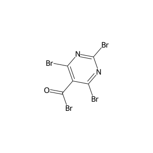 O=C(Br)c1c(Br)nc(Br)nc1Br